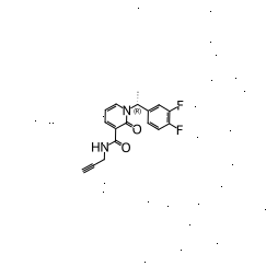 C#CCNC(=O)c1cccn([C@H](C)c2ccc(F)c(F)c2)c1=O